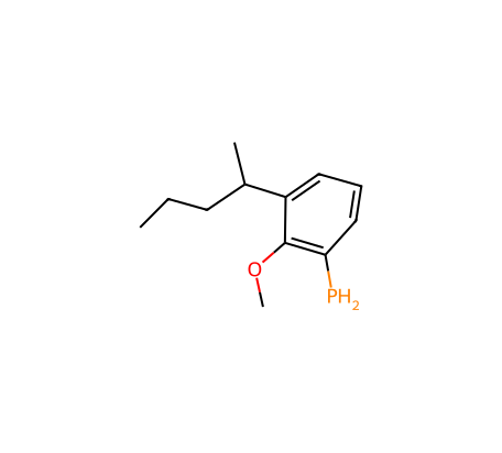 CCCC(C)c1cccc(P)c1OC